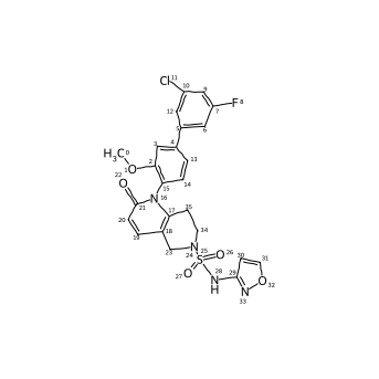 COc1cc(-c2cc(F)cc(Cl)c2)ccc1-n1c2c(ccc1=O)CN(S(=O)(=O)Nc1ccon1)CC2